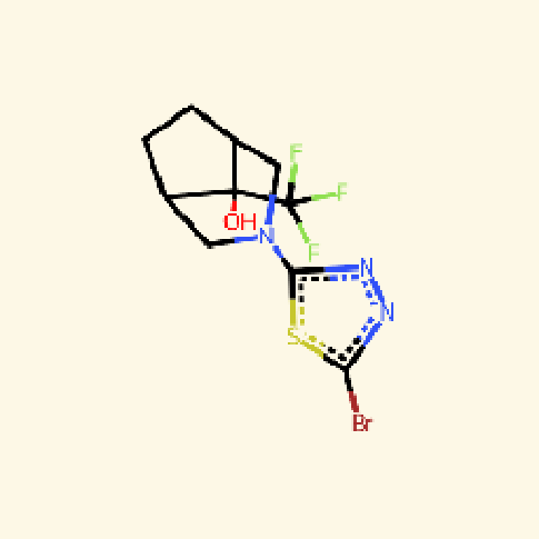 OC1(C(F)(F)F)C2CCC1CN(c1nnc(Br)s1)C2